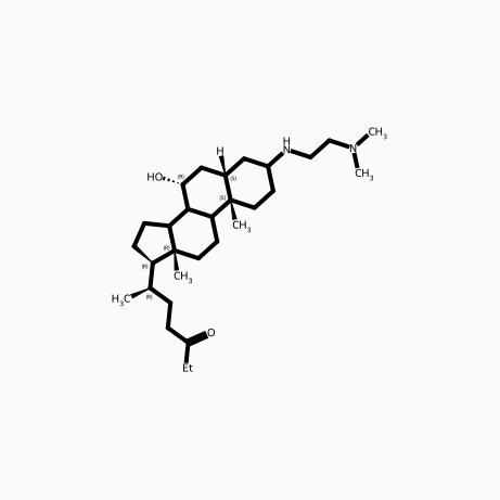 CCC(=O)CC[C@@H](C)[C@H]1CCC2C3C(CC[C@@]21C)[C@@]1(C)CCC(NCCN(C)C)C[C@H]1C[C@H]3O